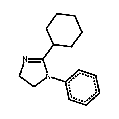 c1ccc(N2CCN=C2C2CCCCC2)cc1